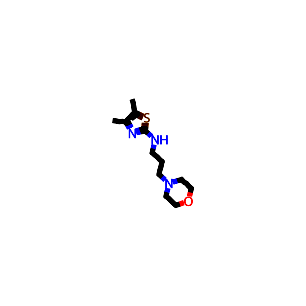 Cc1nc(NCCCN2CCOCC2)sc1C